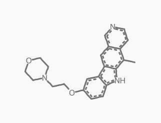 Cc1c2ccncc2cc2c1[nH]c1ccc(OCCN3CCOCC3)cc12